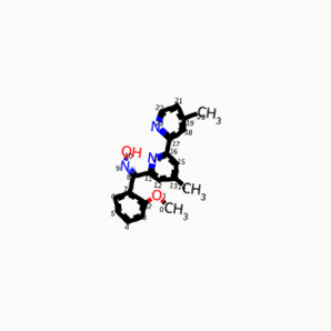 COc1ccccc1/C(=N/O)c1cc(C)cc(-c2cc(C)ccn2)n1